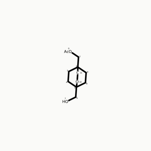 CC(=O)OCC12CCC(CO)(CC1)OC2